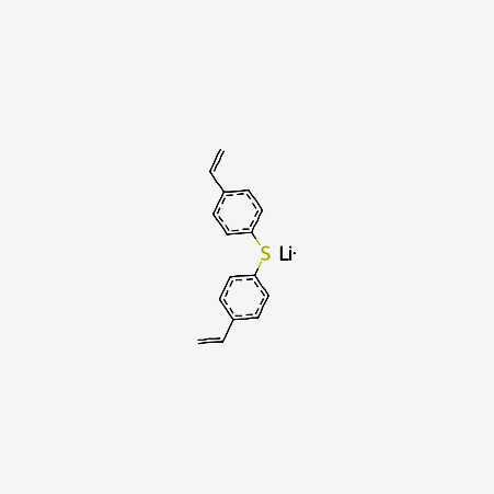 C=Cc1ccc(Sc2ccc(C=C)cc2)cc1.[Li]